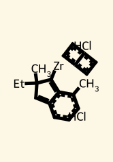 CCC1(C)C=c2cccc(C)c2=[C]1[Zr].Cl.Cl.c1cc2ccc1-2